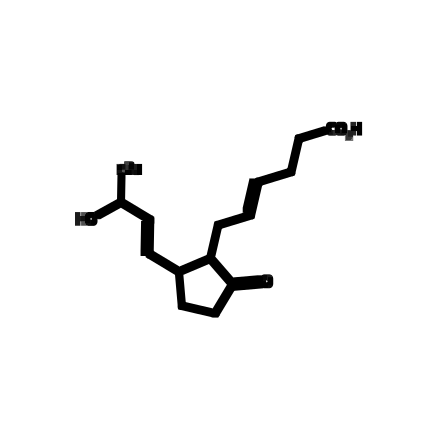 CCCCC(O)C=CC1CCC(=O)C1CC=CCCC(=O)O